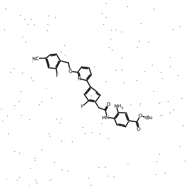 CC(C)(C)OC(=O)c1ccc(NC(=O)Cc2ccc(-c3cccc(OCc4ccc(C#N)cc4F)n3)cc2F)c(N)c1